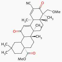 COC[C@]1(C)C(=O)C(C#N)=C[C@]2(C)C3=CC(=O)C4C5CC(C)(C)CC[C@]5(C(=O)OC)CC[C@@]4(C)[C@]3(C)CC[C@H]21